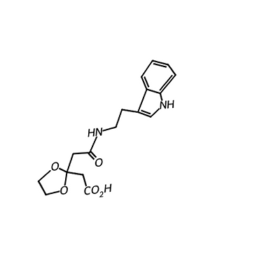 O=C(O)CC1(CC(=O)NCCc2c[nH]c3ccccc23)OCCO1